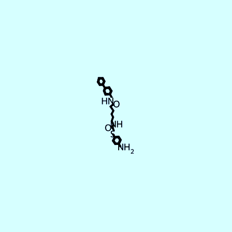 Nc1ccc(SCC(=O)NCCCCCC(=O)NCc2ccc(-c3ccccc3)cc2)cc1